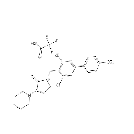 O=C(O)C(F)(F)F.O=C(O)c1ccc(-c2cc(Cl)c(C[C@@H]3CCN(N4CCOCC4)C3=O)c(Cl)c2)cc1